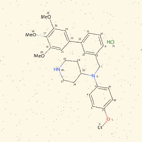 CCOc1ccc(N(Cc2cccc(-c3cc(OC)c(OC)c(OC)c3)c2)C2CCNCC2)cc1.Cl